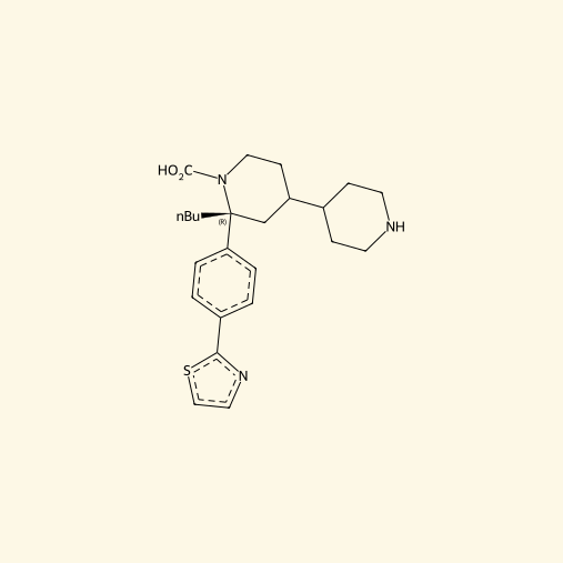 CCCC[C@]1(c2ccc(-c3nccs3)cc2)CC(C2CCNCC2)CCN1C(=O)O